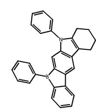 c1ccc(B2c3ccccc3-c3cc4c5c(n(-c6ccccc6)c4cc32)CCCC5)cc1